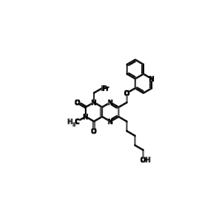 CC(C)Cn1c(=O)n(C)c(=O)c2nc(CCCCCO)c(COc3ccnc4ccccc34)nc21